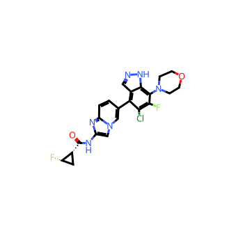 O=C(Nc1cn2cc(-c3c(Cl)c(F)c(N4CCOCC4)c4[nH]ncc34)ccc2n1)[C@@H]1C[C@@H]1F